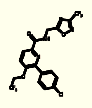 O=C(NCc1nc(C(F)(F)F)no1)c1ccc(OCC(F)(F)F)c(-c2ccc(Cl)cc2)n1